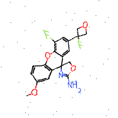 COc1ccc2c(c1)C1(COC(N)=N1)c1cc(C3(F)COC3)cc(F)c1O2